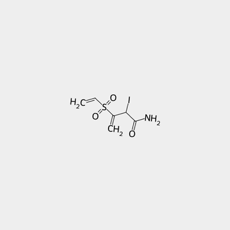 C=CS(=O)(=O)C(=C)C(I)C(N)=O